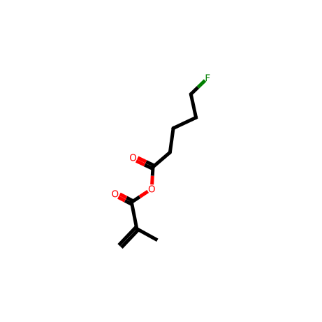 C=C(C)C(=O)OC(=O)CCCCF